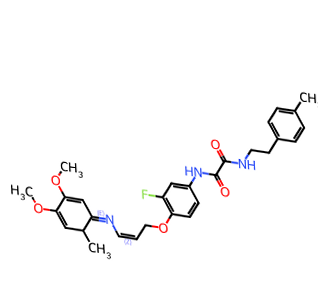 COC1=C/C(=N/C=C\COc2ccc(NC(=O)C(=O)NCCc3ccc(C)cc3)cc2F)C(C)C=C1OC